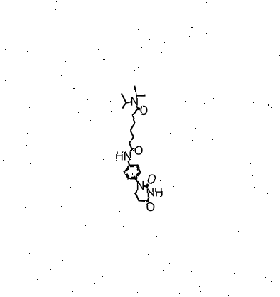 CC(C)N(C(=O)CCCCCC(=O)Nc1ccc(N2CCC(=O)NC2=O)cc1)C(C)C